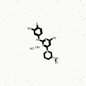 CCCc1cc(N2CCC[C@@H](NCC)C2)nc(Nc2ccc(F)c(C#N)c2)n1.Cl.Cl